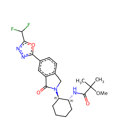 COC(C)(C)C(=O)N[C@@H]1CCCC[C@H]1N1Cc2ccc(-c3nnc(C(F)F)o3)cc2C1=O